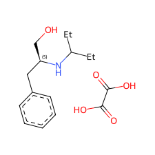 CCC(CC)N[C@H](CO)Cc1ccccc1.O=C(O)C(=O)O